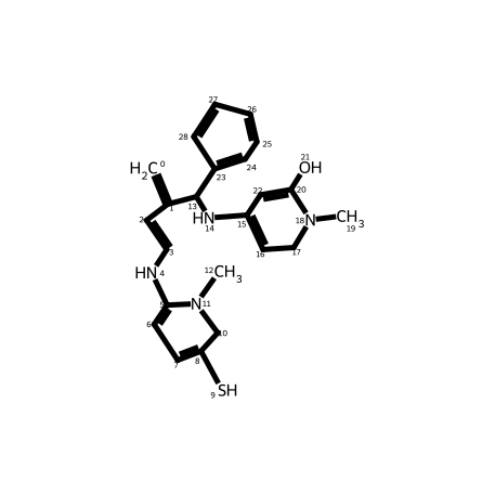 C=C(/C=C/NC1=CC=C(S)CN1C)C(NC1=CCN(C)C(O)=C1)c1ccccc1